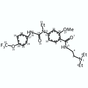 CCN(CC)CCNC(=O)c1ccc(N(CC)C(=O)Nc2ccc(OC(F)(F)F)cc2)cc1OC